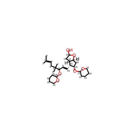 CC(C)=CCC(C)(C)[C@@H](C=C[C@@H]1[C@H]2CC(O)O[C@H]2C[C@H]1OC1CCCCO1)OC1CCCCO1